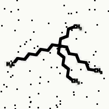 CCCCCCCC[Si](CCCC)(CCCCCC)CCCCCCC